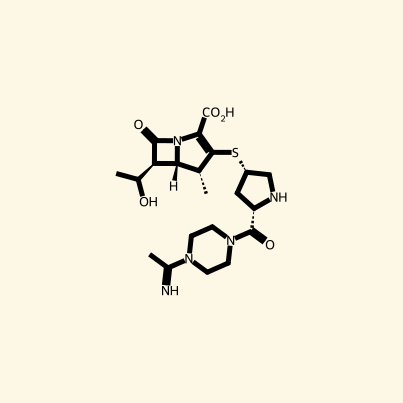 CC(=N)N1CCN(C(=O)[C@@H]2C[C@H](SC3=C(C(=O)O)N4C(=O)[C@H](C(C)O)[C@H]4[C@H]3C)CN2)CC1